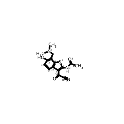 CC(=O)Nc1sc2c(CN(C)C)c(O)ccc2c1C(=O)C#N